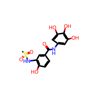 CS(=O)(=O)Nc1cc(C(=O)Nc2cc(O)c(O)c(O)c2)ccc1O